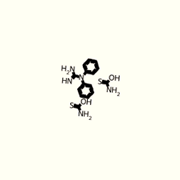 N=C(N)N(c1ccccc1)c1ccccc1.NC(O)=S.NC(O)=S